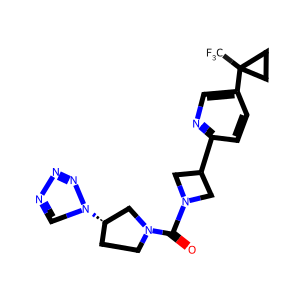 O=C(N1CC(c2ccc(C3(C(F)(F)F)CC3)cn2)C1)N1CC[C@H](n2cnnn2)C1